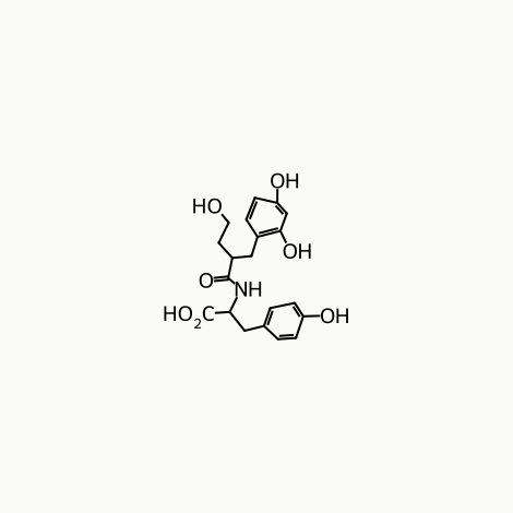 O=C(NC(Cc1ccc(O)cc1)C(=O)O)C(CCO)Cc1ccc(O)cc1O